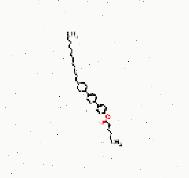 CCCCCCCCCCCCC1CCC(c2ccc(-c3ccc(OC(=O)CCCCC)cc3)cc2)CC1